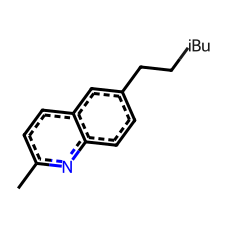 CCC(C)CCc1ccc2nc(C)ccc2c1